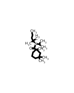 CCCC(C)(C)N(C(=O)C1(C)CCCC(C)(C)C1)C(C)C